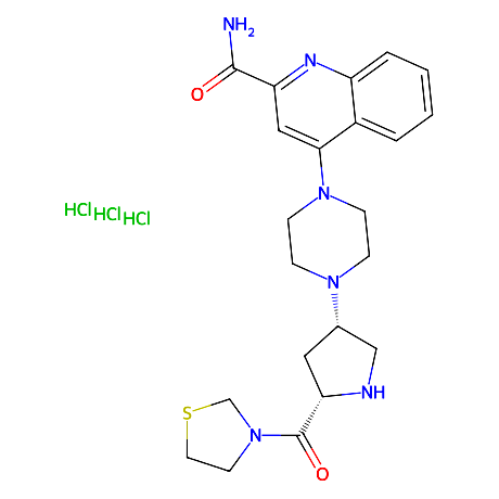 Cl.Cl.Cl.NC(=O)c1cc(N2CCN([C@@H]3CN[C@H](C(=O)N4CCSC4)C3)CC2)c2ccccc2n1